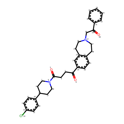 O=C(CCC(=O)N1CCC(c2ccc(Cl)cc2)CC1)c1ccc2c(c1)CCN(CC(=O)c1ccccc1)CC2